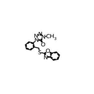 Cn1nnn(-c2ccccc2CSc2nc3ccccc3o2)c1=O